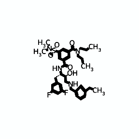 CCCN(CCC)C(=O)c1cc(C(=O)N[C@@H](Cc2cc(F)cc(F)c2)[C@H](O)CNCc2cccc(CC)c2)cc(S(=O)(=O)N(C)C)c1